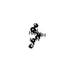 c1csc(-c2cccc3[nH]c(-c4n[nH]c5cnc(-c6cncc(CN7CCCC7)c6)cc45)nc23)c1